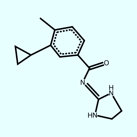 Cc1ccc(C(=O)N=C2NCCN2)cc1C1CC1